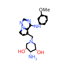 COc1cccc(Nc2ncnn3ccc(CN4C[C@@H](O)[C@@H](N)[C@@H](O)C4)c23)c1